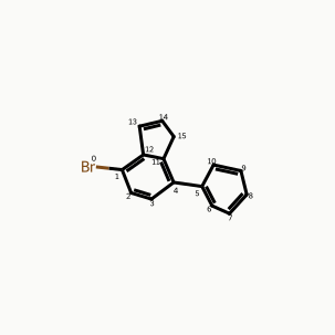 Brc1ccc(-c2ccccc2)c2c1C=CC2